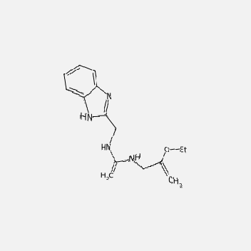 C=C(NCC(=C)OCC)NCc1nc2ccccc2[nH]1